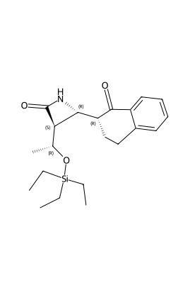 CC[Si](CC)(CC)O[C@H](C)[C@H]1C(=O)N[C@@H]1[C@H]1CCc2ccccc2C1=O